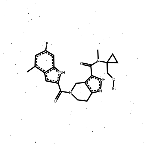 CCOCC1(N(C)C(=O)c2[nH]nc3c2CN(C(=O)c2cc4c(C)cc(F)cc4[nH]2)CC3)CC1